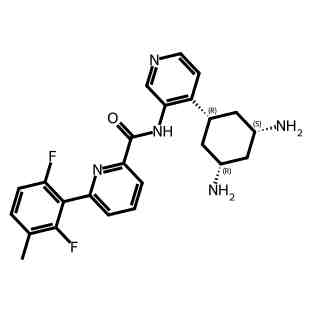 Cc1ccc(F)c(-c2cccc(C(=O)Nc3cnccc3[C@@H]3C[C@H](N)C[C@H](N)C3)n2)c1F